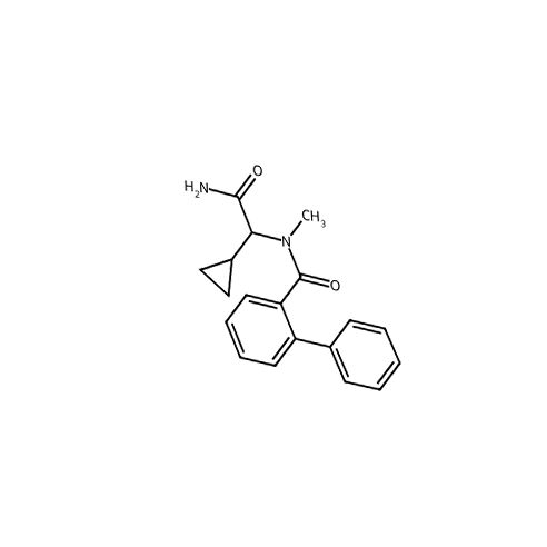 CN(C(=O)c1ccccc1-c1ccccc1)C(C(N)=O)C1CC1